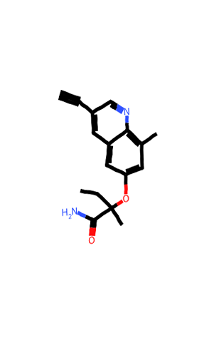 C#Cc1cnc2c(C)cc(OC(C)(CC)C(N)=O)cc2c1